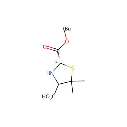 CC(C)(C)OC(=O)[C@H]1NC(C(=O)O)C(C)(C)S1